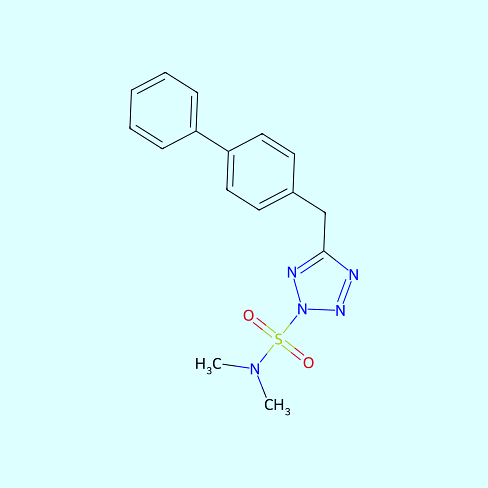 CN(C)S(=O)(=O)n1nnc(Cc2ccc(-c3ccccc3)cc2)n1